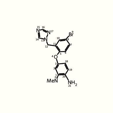 CNc1cc(Oc2ccc(Br)cc2Cn2cncn2)ccc1N